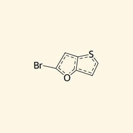 Brc1cc2sccc2o1